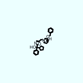 OC(c1ccccc1)(c1ncc(C[N+]23CCC(CC2)[C@@H](OCc2ccccc2)C3)o1)C1CCCC1